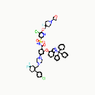 O=C(NS(=O)(=O)c1cnc(OCC2(F)CCN(C3COC3)CC2)c(Cl)c1)c1ccc(N2CCN(CC3=C(c4ccc(Cl)cc4)CCC(F)(F)C3)CC2)cc1Oc1cccc2c1cnn2C(c1ccccc1)(c1ccccc1)c1ccccc1